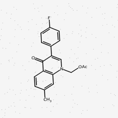 CC(=O)OCn1cc(-c2ccc(F)cc2)c(=O)c2ccc(C)cc21